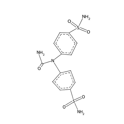 NC(=O)N(c1ccc(S(N)(=O)=O)cc1)c1ccc(S(N)(=O)=O)cc1